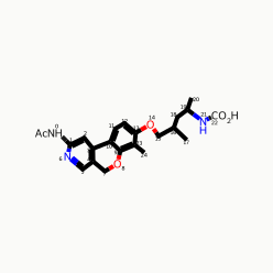 CC(=O)Nc1cc2c(cn1)COc1c-2ccc(OCC(C)CC(C)NC(=O)O)c1C